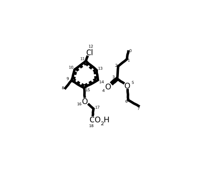 CCCC(=O)OCC.Cc1cc(Cl)ccc1OCC(=O)O